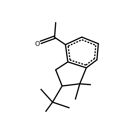 CC(=O)c1cccc2c1CC(C(C)(C)C)C2(C)C